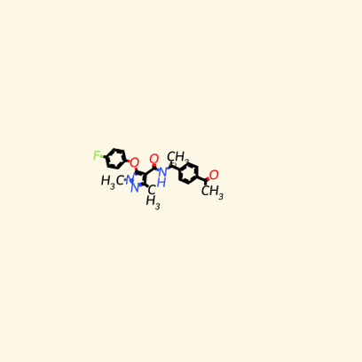 CC(=O)c1ccc([C@H](C)NC(=O)c2c(C)nn(C)c2Oc2ccc(F)cc2)cc1